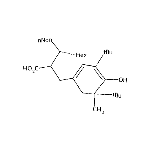 CCCCCCCCCC(CCCCCC)C(CC1=CC(C(C)(C)C)=C(O)C(C)(C(C)(C)C)C1)C(=O)O